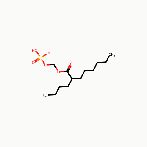 CCCCCCC(CCCC)C(=O)OCOP(=O)(O)O